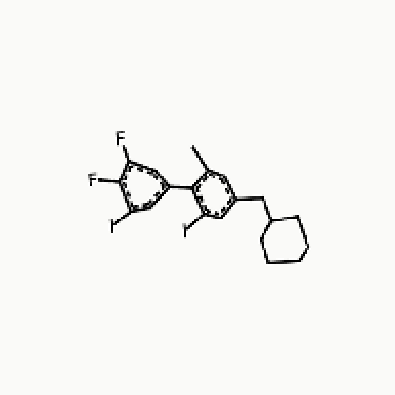 Cc1cc(CC2CCCCC2)cc(I)c1-c1cc(F)c(F)c(I)c1